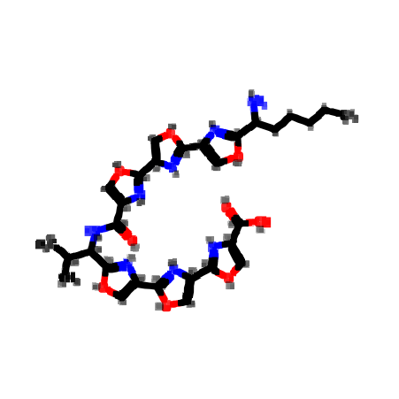 CCCCCC(N)c1nc(-c2nc(-c3nc(C(=O)NC(c4nc(-c5nc(-c6nc(C(=O)O)co6)co5)co4)C(C)C)co3)co2)co1